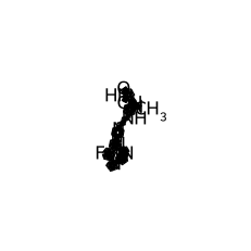 Cn1nc(C2CCC(=O)NC2=O)c2ccc(NCCCN3CCN(c4cccc(-c5cnc6ccc(N7CCC[C@@H]7c7cccc(F)c7)nn56)n4)CC3)cc21